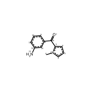 Cn1cccc1C(=O)c1cccc(N)c1